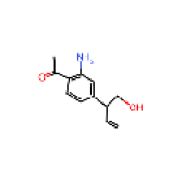 C=CC(CO)c1ccc(C(C)=O)c(N)c1